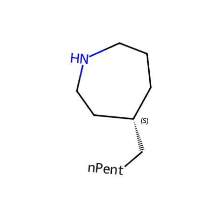 CCCCCC[C@H]1CCCNCC1